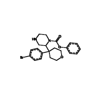 O=C(Oc1ccccc1)N1CCNCC1C1(c2ccc(Br)cc2)CCOCC1